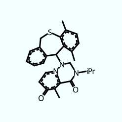 Cc1ccc(C)c2c1SCc1ccccc1C2N1CN(C(C)C)C(=O)c2c(C)c(=O)ccn21